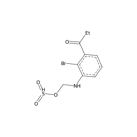 CCC(=O)c1cccc(NCO[SH](=O)=O)c1Br